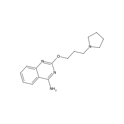 Nc1nc(OCCCN2CCCC2)nc2ccccc12